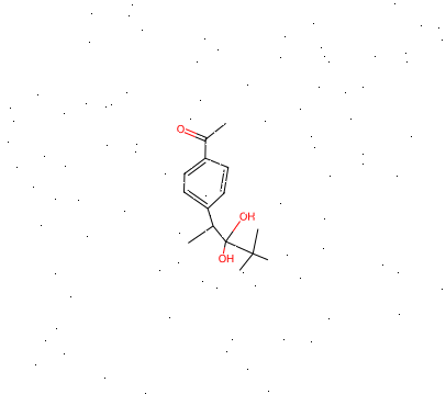 CC(=O)c1ccc(C(C)C(O)(O)C(C)(C)C)cc1